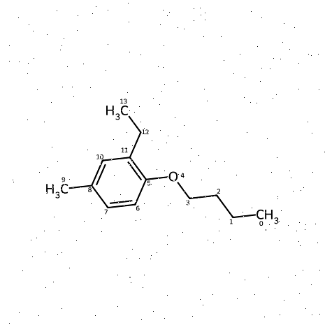 CCCCOc1ccc(C)cc1CC